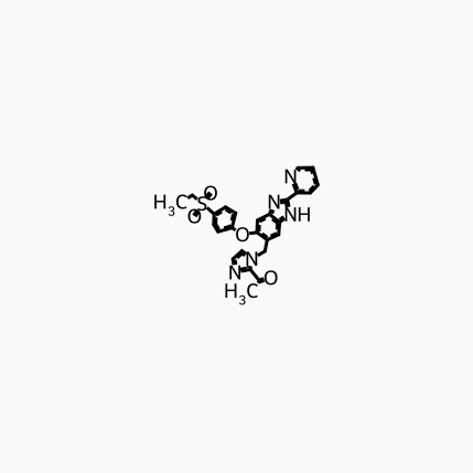 CCS(=O)(=O)c1ccc(Oc2cc3nc(-c4ccccn4)[nH]c3cc2Cn2ccnc2C(C)=O)cc1